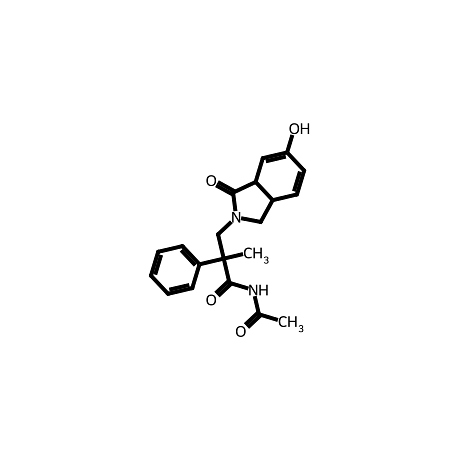 CC(=O)NC(=O)C(C)(CN1CC2C=CC(O)=CC2C1=O)c1ccccc1